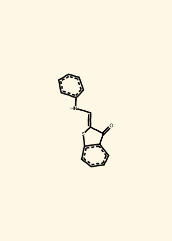 O=C1C(=CNc2ccccc2)Sc2ccccc21